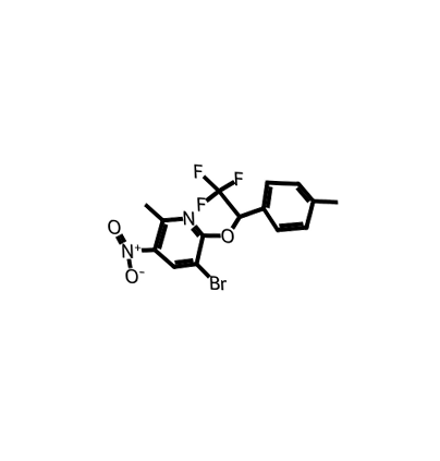 Cc1ccc(C(Oc2nc(C)c([N+](=O)[O-])cc2Br)C(F)(F)F)cc1